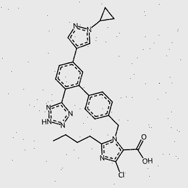 CCCCc1nc(Cl)c(C(=O)O)n1Cc1ccc(-c2cc(-c3cnn(C4CC4)c3)ccc2-c2nn[nH]n2)cc1